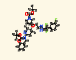 Cc1cc(C[C@@H]2CN(C(=O)OC(C)(C)C)C[C@@H]2OCCNCC(F)(F)c2cccc(F)c2)nc(N(Cc2ccccc2)C(=O)OC(C)(C)C)c1